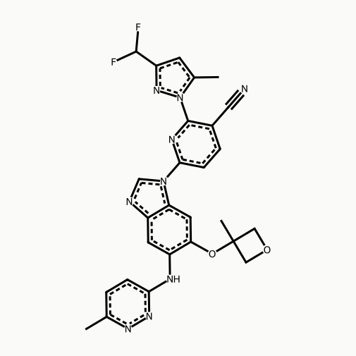 Cc1ccc(Nc2cc3ncn(-c4ccc(C#N)c(-n5nc(C(F)F)cc5C)n4)c3cc2OC2(C)COC2)nn1